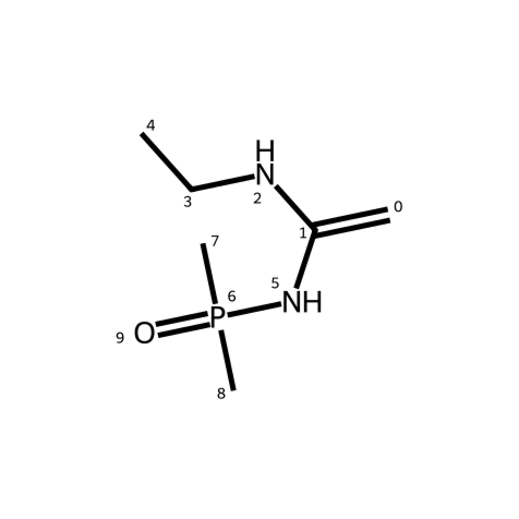 C=C(NCC)NP(C)(C)=O